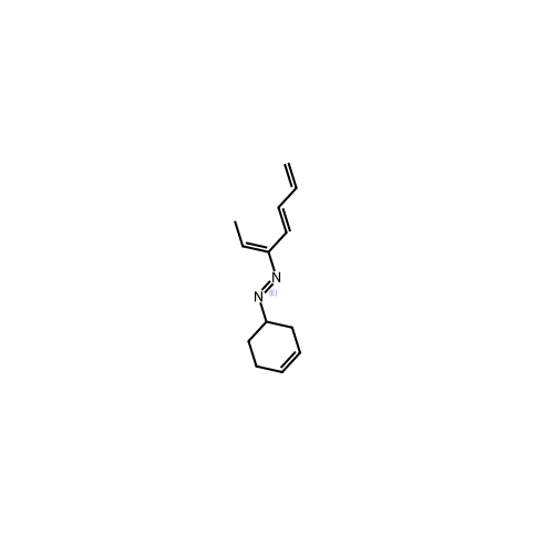 C=CC=CC(=CC)/N=N/C1CC=CCC1